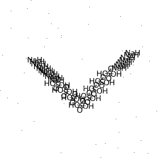 O=S(=O)(O)O.O=S(=O)(O)O.O=S(=O)(O)O.O=S(=O)(O)O.O=S(=O)(O)O.O=S(=O)(O)O.O=S(=O)(O)O.O=S(=O)(O)O.[NaH].[NaH].[NaH].[NaH].[NaH].[NaH].[NaH].[NaH].[NaH].[NaH].[NaH].[NaH].[NaH].[NaH].[NaH].[NaH].[NaH].[NaH].[NaH]